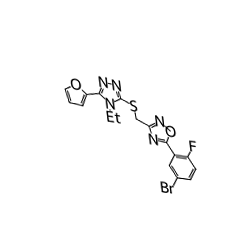 CCn1c(SCc2noc(-c3cc(Br)ccc3F)n2)nnc1-c1ccco1